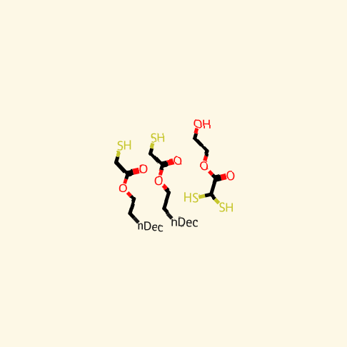 CCCCCCCCCCCCOC(=O)CS.CCCCCCCCCCCCOC(=O)CS.O=C(OCCO)C(S)S